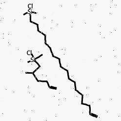 C=CCCC(C)C[Si](C)(C)Cl.C=CCCCCCCCCCCCCCCCC[Si](C)(C)Cl